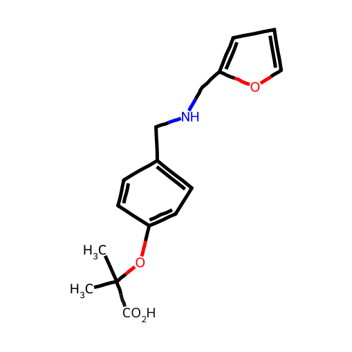 CC(C)(Oc1ccc(CNCc2ccco2)cc1)C(=O)O